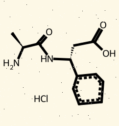 C[C@H](N)C(=O)N[C@H](CC(=O)O)c1ccccc1.Cl